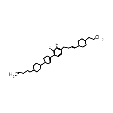 C=CCCCC1CCC(C2CC=C(c3ccc(CC/C=C/C4CCC(CCC)CC4)c(F)c3F)CC2)CC1